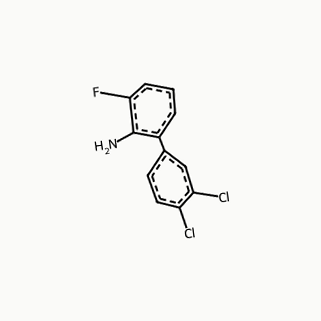 Nc1c(F)cccc1-c1ccc(Cl)c(Cl)c1